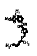 C=C/C=C\C=C(/C)SCc1ccc(C(=O)Nc2ccc(C)c(S(=O)(=O)NC)c2)o1